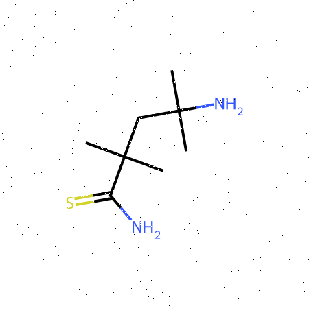 CC(C)(N)CC(C)(C)C(N)=S